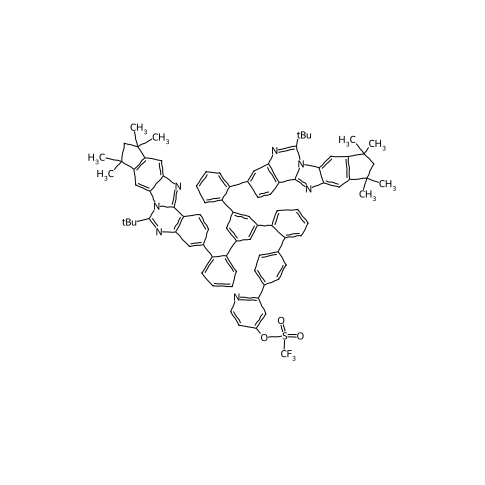 CC(C)(C)c1nc2cc(-c3ccccc3-c3cc(-c4ccccc4-c4ccc(-c5cc(OS(=O)(=O)C(F)(F)F)ccn5)cc4)cc(-c4ccccc4-c4ccc5c(c4)nc(C(C)(C)C)n4c6cc7c(cc6nc54)C(C)(C)CC7(C)C)c3)ccc2c2nc3cc4c(cc3n12)C(C)(C)CC4(C)C